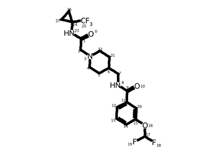 O=C(CN1CCC(CNC(=O)c2cccc(OC(F)F)c2)CC1)NC1(C(F)(F)F)CC1